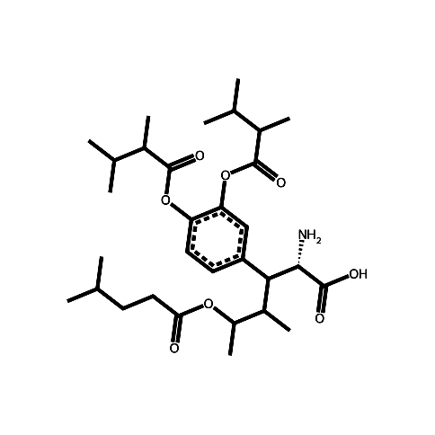 CC(C)CCC(=O)OC(C)C(C)C(c1ccc(OC(=O)C(C)C(C)C)c(OC(=O)C(C)C(C)C)c1)[C@H](N)C(=O)O